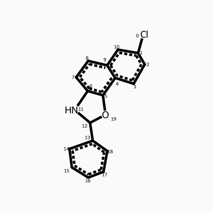 Clc1ccc2c3c(ccc2c1)NC(c1ccccc1)O3